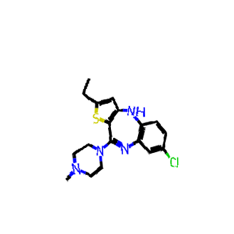 CCc1cc2c(s1)C(N1CCN(C)CC1)=Nc1cc(Cl)ccc1N2